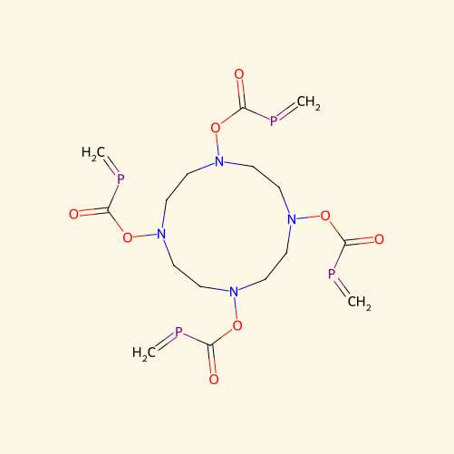 C=PC(=O)ON1CCN(OC(=O)P=C)CCN(OC(=O)P=C)CCN(OC(=O)P=C)CC1